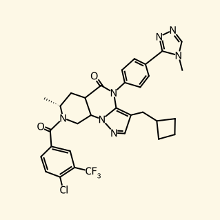 C[C@@H]1CC2C(=O)N(c3ccc(-c4nncn4C)cc3)c3c(CC4CCC4)cnn3C2CN1C(=O)c1ccc(Cl)c(C(F)(F)F)c1